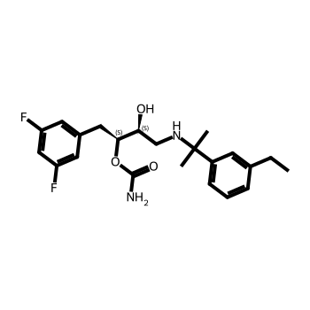 CCc1cccc(C(C)(C)NC[C@H](O)[C@H](Cc2cc(F)cc(F)c2)OC(N)=O)c1